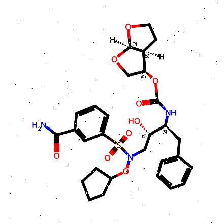 NC(=O)c1cccc(S(=O)(=O)N(C[C@H](O)[C@H](Cc2ccccc2)NC(=O)O[C@H]2CO[C@H]3OCC[C@H]32)OC2CCCC2)c1